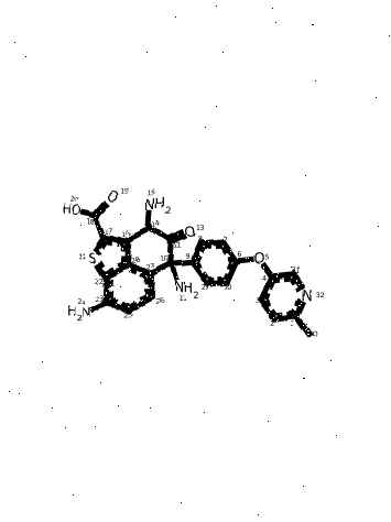 Cc1ccc(Oc2ccc(C3(N)C(=O)C(N)c4c(C(=O)O)sc5c(N)ccc3c45)cc2)cn1